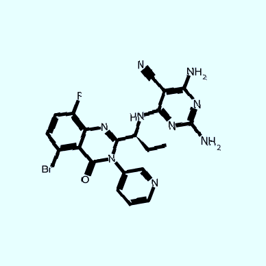 CC[C@H](Nc1nc(N)nc(N)c1C#N)c1nc2c(F)ccc(Br)c2c(=O)n1-c1cccnc1